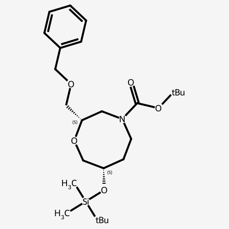 CC(C)(C)OC(=O)N1CC[C@H](O[Si](C)(C)C(C)(C)C)CO[C@H](COCc2ccccc2)C1